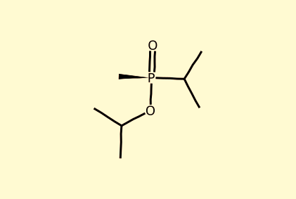 CC(C)O[P@](C)(=O)C(C)C